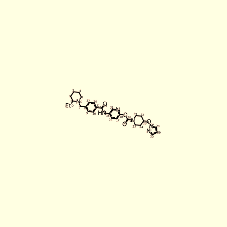 CCC1CCCCN1Cc1ccc(C(=O)Nc2ccc(OC(=O)N3CCC(On4cccn4)CC3)nc2)cc1